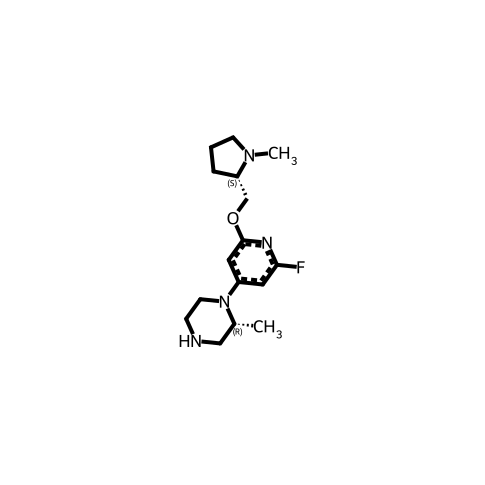 C[C@@H]1CNCCN1c1cc(F)nc(OC[C@@H]2CCCN2C)c1